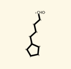 O=[C]CC[CH]CC1CCCC1